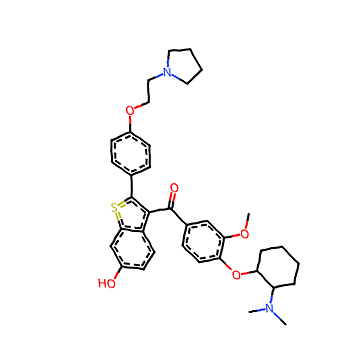 COc1cc(C(=O)c2c(-c3ccc(OCCN4CCCC4)cc3)sc3cc(O)ccc23)ccc1OC1CCCCC1N(C)C